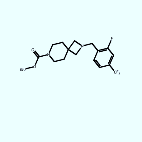 CC(C)(C)OC(=O)N1CCC2(CC1)CN(Cc1ccc(C(F)(F)F)cc1F)C2